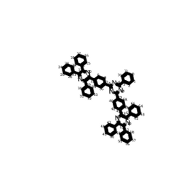 c1ccc(-c2nc(-c3ccc(-c4nc(-c5ccccc5)c(-c5ccccc5)nc4-c4ccccc4)cc3)nc(-c3ccc(-c4nc(-c5ccccc5)c(-c5ccccc5)nc4-c4ccccc4)cc3)n2)cc1